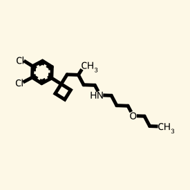 CCCOCCCNCCC(C)CC1(c2ccc(Cl)c(Cl)c2)CCC1